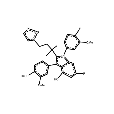 COc1cc(-n2c(C(C)(C)CCn3ccnn3)c(-c3ccc(C(=O)O)c(OC)c3)c3c(O)cc(F)cc32)ccc1F